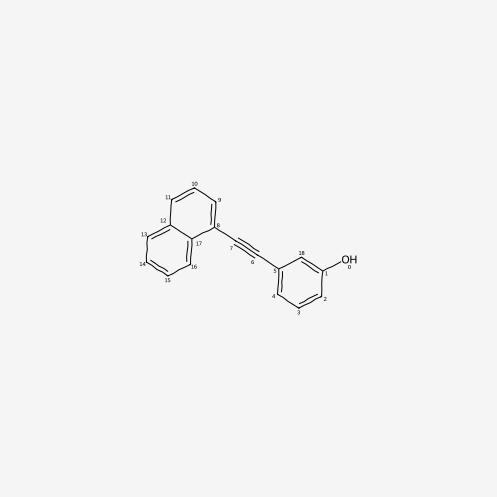 Oc1cccc(C#Cc2cccc3ccccc23)c1